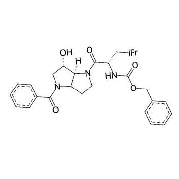 CC(C)C[C@H](NC(=O)OCc1ccccc1)C(=O)N1CCC2[C@H]1[C@@H](O)CN2C(=O)c1ccccc1